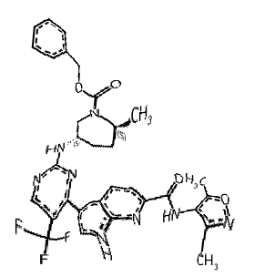 Cc1noc(C)c1NC(=O)c1ccc2c(-c3nc(N[C@H]4CC[C@H](C)N(C(=O)OCc5ccccc5)C4)ncc3C(F)(F)F)c[nH]c2n1